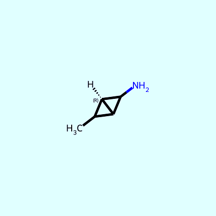 CC1C2C(N)[C@H]12